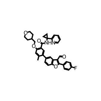 Cc1cc(OCC2CCOCC2)c(C(=O)NC2(c3ccccn3)CC2)cc1-c1ccc2oc(-c3ccc(F)cc3)c(C=O)c2c1